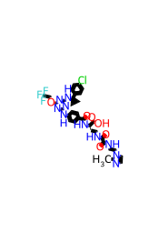 Cc1nccn1CCNC(=O)C(=O)NCC[C@H](NC(=O)c1ccc(Nc2nc(NC3(c4ccc(Cl)cc4)CC3)nc(OCC(F)(F)F)n2)cc1)C(=O)O